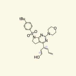 C=C/C=C(\C=C\O)c1nc(N2CCOCC2)nc2c1CCN2S(=O)(=O)c1ccc(C(C)(C)C)cc1